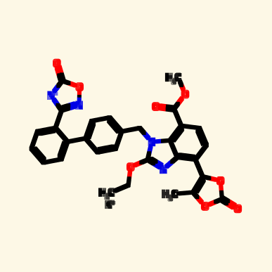 CCOc1nc2c(-c3oc(=O)oc3C)ccc(C(=O)OC)c2n1Cc1ccc(-c2ccccc2-c2noc(=O)[n-]2)cc1.[K+]